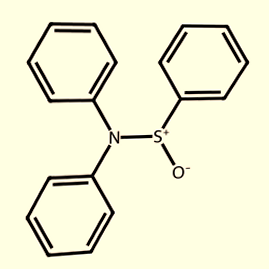 [O-][S+](c1ccccc1)N(c1ccccc1)c1ccccc1